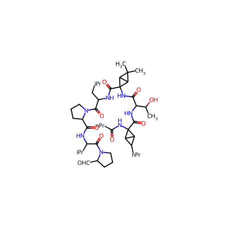 CCCC(=O)NC1(C(=O)NC(C(=O)NC2(C(=O)NC(CC(C)C)C(=O)N3CCCC3C(=O)NC(C(=O)N3CCCC3C=O)C(C)C)C3C2C3(C)C)C(C)O)C2C(CCC)C21